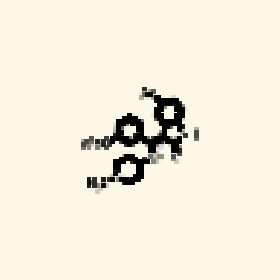 COc1cccc(/C(NC2CCN(C)CC2)=C2/C(=O)Nc3ccc(C(C)=O)cc32)c1